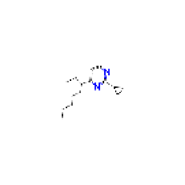 CCCCCC(CC)c1ccnc(C2CC2)n1